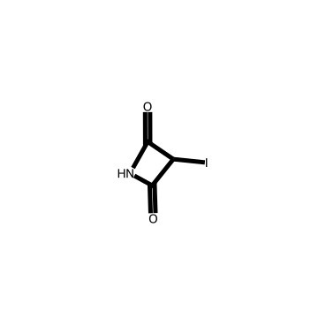 O=C1NC(=O)C1I